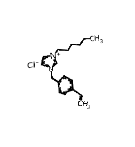 C=Cc1ccc(Cn2cc[n+](CCCCCC)c2)cc1.[Cl-]